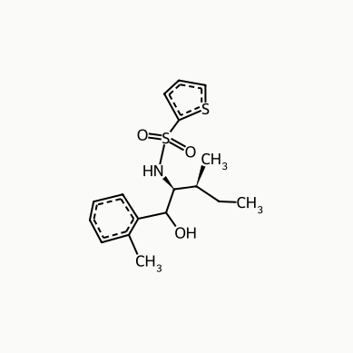 CC[C@H](C)[C@H](NS(=O)(=O)c1cccs1)C(O)c1ccccc1C